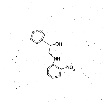 O=[N+]([O-])c1ccccc1NCC(O)c1ccccc1